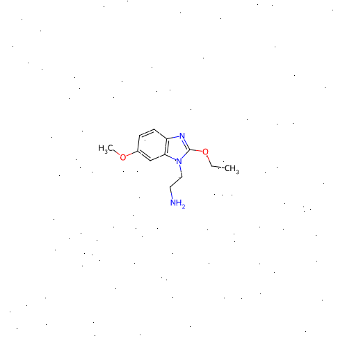 CCOc1nc2ccc(OC)cc2n1CCN